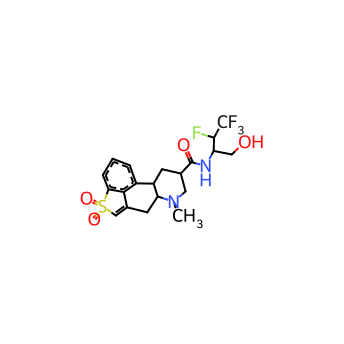 CN1CC(C(=O)NC(CO)C(F)C(F)(F)F)CC2c3cccc4c3C(=CS4(=O)=O)CC21